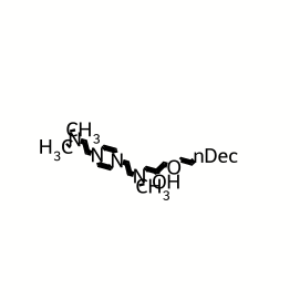 CCCCCCCCCCCCOCC(O)CN(C)CCN1CCN(CCN(C)C)CC1